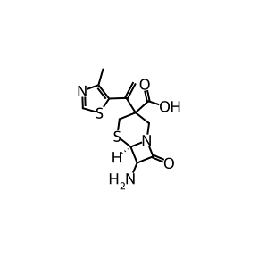 C=C(c1scnc1C)C1(C(=O)O)CS[C@@H]2C(N)C(=O)N2C1